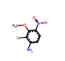 COc1c([N+](=O)[O-])ccc(N)c1Cl